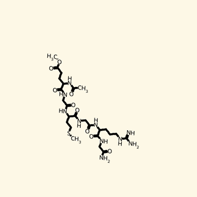 COC(=O)CCC(NC(C)=O)C(=O)NCC(=O)NC(CCSC)C(=O)NCC(=O)NC(CCCNC(=N)N)C(=O)NCC(N)=O